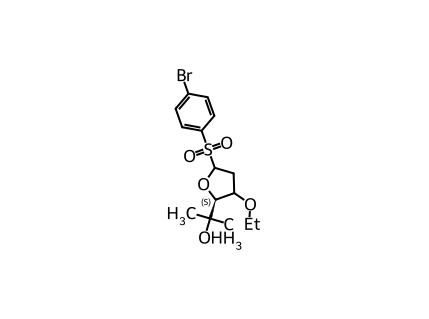 CCOC1CC(S(=O)(=O)c2ccc(Br)cc2)O[C@@H]1C(C)(C)O